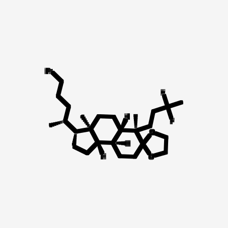 CC(C)CCC[C@@H](C)[C@H]1CC[C@H]2[C@@H]3CCC4(OCCO4)[C@](C)(CCC(C)(F)F)[C@H]3CC[C@]12C